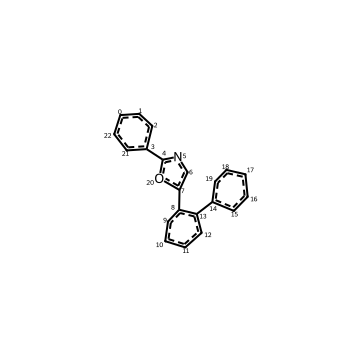 c1ccc(-c2ncc(-c3ccccc3-c3ccccc3)o2)cc1